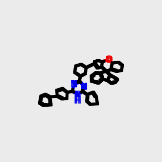 C1=CC2c3ccccc3C3(C4=CCCCC4OC4CCC(C5CCCC(C6=NC(C7C=CC(c8ccccc8)=CC7)NC(C7=CCCC=C7)=N6)C5)=CC43)C2C=C1